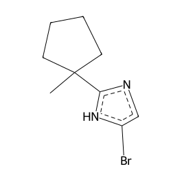 CC1(c2ncc(Br)[nH]2)CCCC1